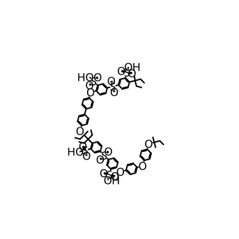 CCC(C)(C)Oc1ccc(Oc2ccc(Oc3ccc(S(=O)(=O)c4ccc(C(CC)(CC)C(C)(CC)Oc5ccc(-c6ccc(Oc7ccc(S(=O)(=O)c8ccc(C(C)(CC)CC)c(S(=O)(=O)O)c8)cc7S(=O)(=O)O)cc6)cc5)c(S(=O)(=O)O)c4)cc3S(=O)(=O)O)cc2)cc1